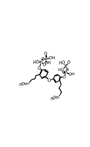 CCCCCCCCCCCCCc1cc(Oc2ccc(OP(=O)(O)OP(=O)(O)O)c(CCCCCCCCCCCCC)c2)ccc1OP(=O)(O)OP(=O)(O)O